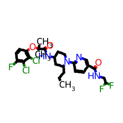 CCCC1CC(NC(=O)C(C)(C)Oc2ccc(F)c(Cl)c2Cl)CCN1c1ccc(C(=O)NCC(F)F)cn1